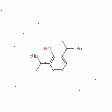 CC(c1cccc(C(C)C(C)(C)C)c1O)C(C)(C)C